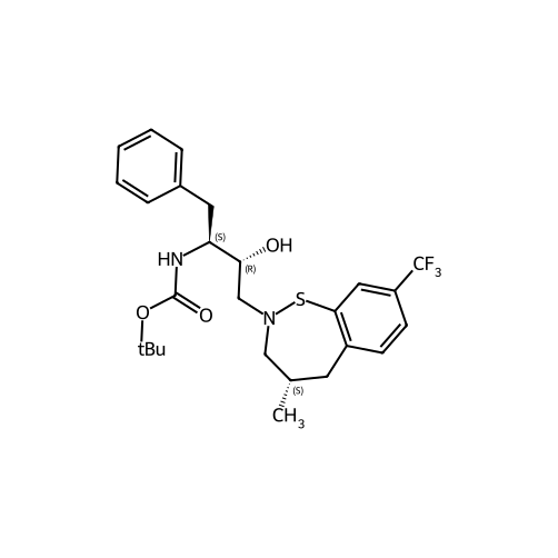 C[C@H]1Cc2ccc(C(F)(F)F)cc2SN(C[C@@H](O)[C@H](Cc2ccccc2)NC(=O)OC(C)(C)C)C1